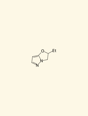 CCC1Cn2nccc2O1